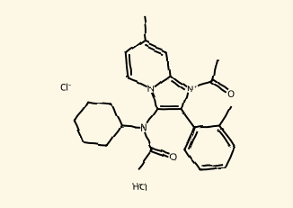 CC(=O)N(c1c(-c2ccccc2C)[n+](C(C)=O)c2cc(C)ccn12)C1CCCCC1.Cl.[Cl-]